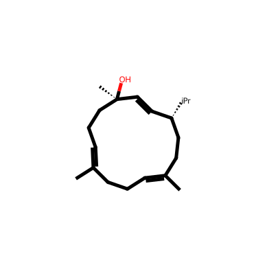 C/C1=C\CC[C@@](C)(O)/C=C/[C@H](C(C)C)CC/C(C)=C/CC1